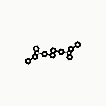 C1=Cc2c(c3cc(-c4ccccc4)ccc3n2-c2ccc(-c3cccc4c(-c5ccc(-n6c7ccccc7c7cc(-c8ccccc8)ccc76)cc5)cccc34)cc2)CC1